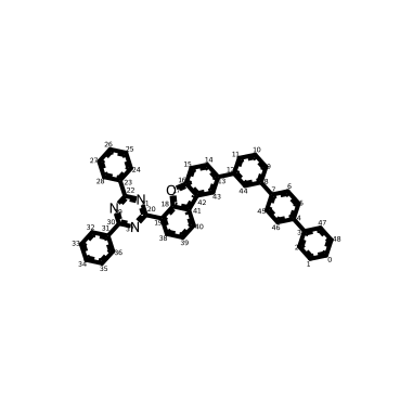 c1ccc(-c2ccc(-c3cccc(-c4ccc5oc6c(-c7nc(-c8ccccc8)nc(-c8ccccc8)n7)cccc6c5c4)c3)cc2)cc1